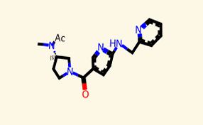 CC(=O)N(C)[C@H]1CCN(C(=O)c2ccc(NCc3ccccn3)nc2)C1